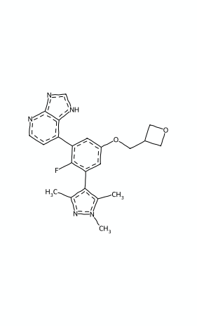 Cc1nn(C)c(C)c1-c1cc(OCC2COC2)cc(-c2ccnc3nc[nH]c23)c1F